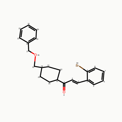 O=C(/C=C/c1ccccc1Br)C1CCC(COCc2ccccc2)CC1